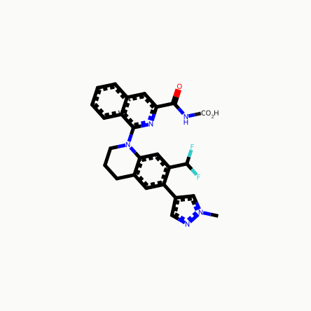 Cn1cc(-c2cc3c(cc2C(F)F)N(c2nc(C(=O)NC(=O)O)cc4ccccc24)CCC3)cn1